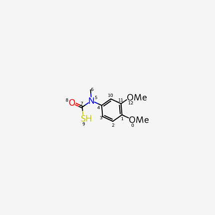 COc1ccc(N(C)C(=O)S)cc1OC